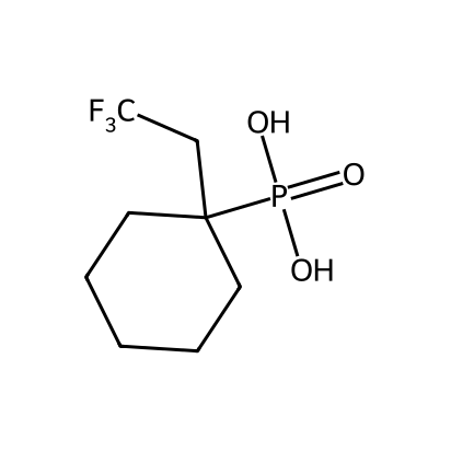 O=P(O)(O)C1(CC(F)(F)F)CCCCC1